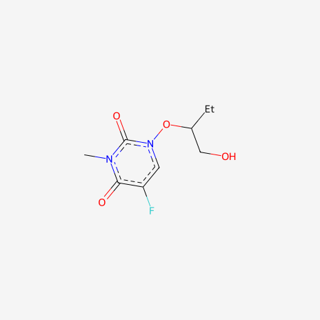 CCC(CO)On1cc(F)c(=O)n(C)c1=O